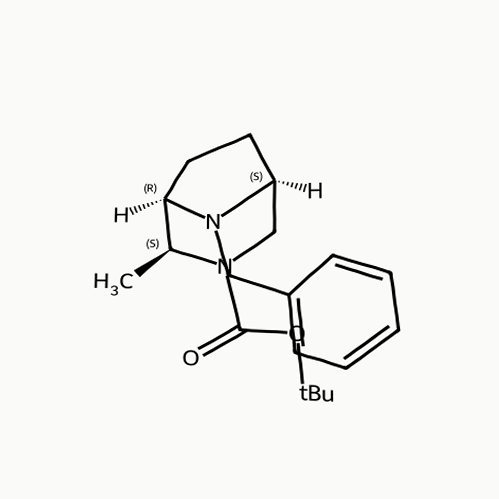 C[C@H]1[C@H]2CC[C@@H](CN1C(=O)OC(C)(C)C)N2Cc1ccccc1